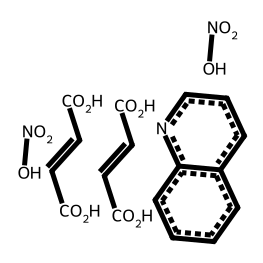 O=C(O)C=CC(=O)O.O=C(O)C=CC(=O)O.O=[N+]([O-])O.O=[N+]([O-])O.c1ccc2ncccc2c1